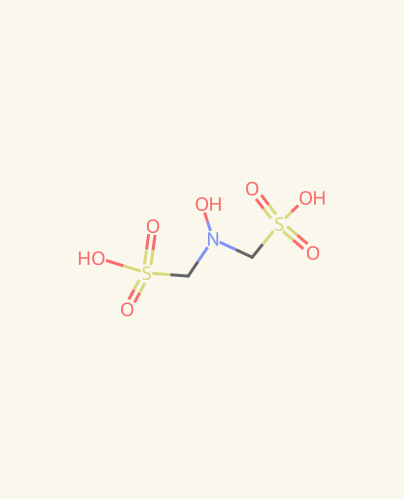 O=S(=O)(O)CN(O)CS(=O)(=O)O